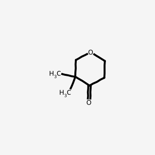 CC1(C)COCCC1=O